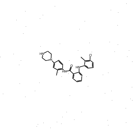 Cc1cc(N2CCNCC2)ccc1NC(=O)c1ccccc1Nc1cccc(Cl)c1C